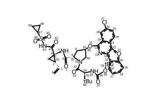 C=C[C@@H]1C[C@]1(NC(=O)[C@@H]1C[C@@H](Oc2nc3c4ccccc4oc3c3ccc(Cl)cc23)CN1C(=O)[C@@H](NC(=O)OC(C)(C)C)C(C)(C)C)C(=O)NS(=O)(=O)C1CC1